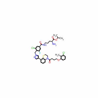 Cc1c(Cl)cccc1OCCCC(=O)N1CCSc2c(-c3cnn(Cc4c(F)cc(C(=O)NCCC[C@H](N)C(=O)OC(C)C)cc4Cl)c3)cccc21